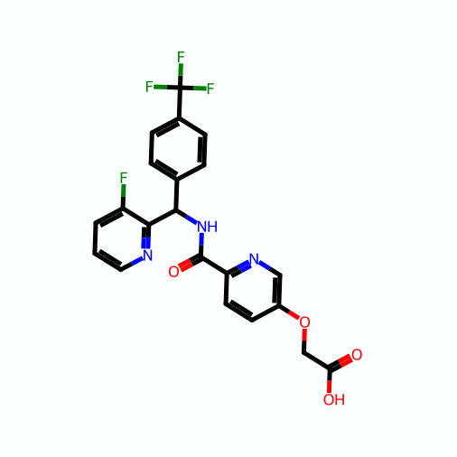 O=C(O)COc1ccc(C(=O)NC(c2ccc(C(F)(F)F)cc2)c2ncccc2F)nc1